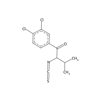 CC(C)C(N=C=S)C(=O)c1ccc(Cl)c(Cl)c1